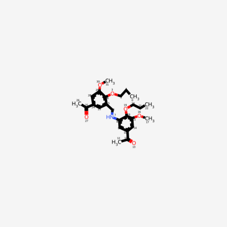 CCCOc1c(CNc2cc(C(C)=O)cc(OC)c2OCCC)cc(C(C)=O)cc1OC